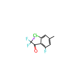 Cc1cc(F)c(C(=O)C(F)(F)I)c(Cl)c1